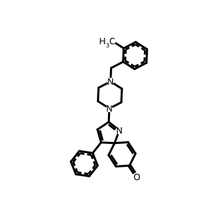 Cc1ccccc1CN1CCN(C2=NC3(C=CC(=O)C=C3)C(c3ccccc3)=C2)CC1